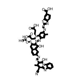 Cc1cc(N=Nc2c(SOOO)cc3ccc(N=Nc4c(C)c(C#N)c5nc6ccccc6n5c4O)cc3c2O)c(N(CCC(=O)O)CCC(=O)O)cc1N=Nc1nc2ccc(C(=O)O)cc2s1